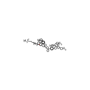 CCCCCCCCCCCCC(COC(=O)c1ccc(Cl)c(NC(=CC(=O)OCC)CC)c1)Oc1ccc(O)c(C(C)(C)C)c1